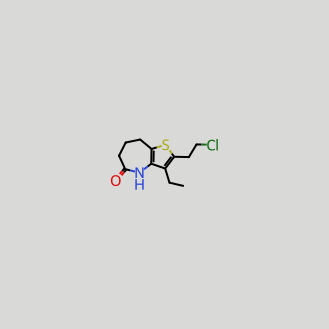 CCc1c(CCCl)sc2c1NC(=O)CCC2